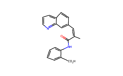 CC(=Cc1ccc2cccnc2c1)C(=O)Nc1ccccc1C(=O)O